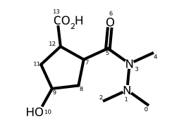 CN(C)N(C)C(=O)C1CC(O)CC1C(=O)O